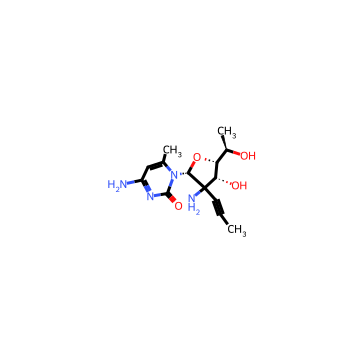 CC#CC1(N)[C@@H](O)[C@@H]([C@@H](C)O)O[C@H]1n1c(C)cc(N)nc1=O